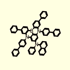 c1ccc(-c2ccc(N3c4cc(-c5ccccc5)ccc4B4c5ccc(-c6ccccc6)cc5N(c5ccc(-c6ccccc6)cc5)c5cc(N(c6ccccc6)c6cccc7ccccc67)cc3c54)cc2)cc1